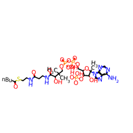 CCCCC(=O)SCCNC(=O)CCNC(=O)C(O)C(C)(C)COP(=O)(O)OP(=O)(O)OCC1OC(C)(n2cnc3c(N)ncnc32)C(O)C1OP(=O)(O)O